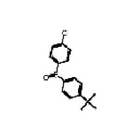 CC(C)(C)c1ccc([P](=O)c2ccc(Cl)cc2)cc1